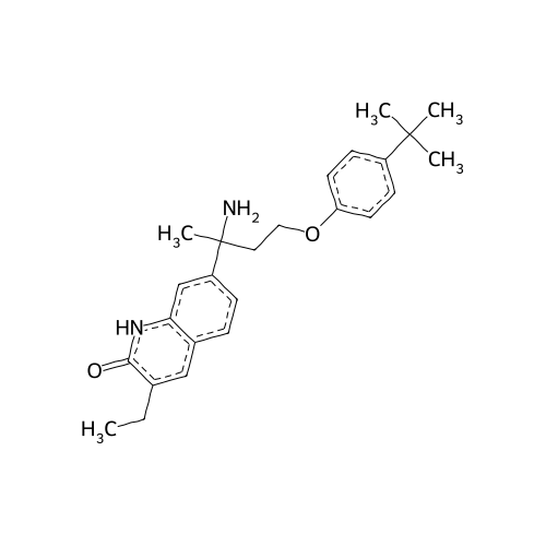 CCc1cc2ccc(C(C)(N)CCOc3ccc(C(C)(C)C)cc3)cc2[nH]c1=O